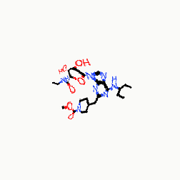 CCNC(=O)[C@H]1O[C@@H](n2cnc3c(NC(CC)CC)nc(CC4CCN(C(=O)OC)CC4)nc32)C(O)[C@H]1O